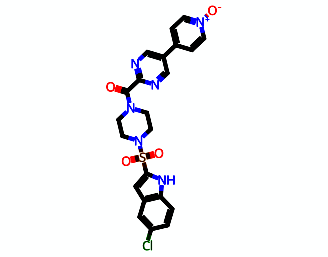 O=C(c1ncc(-c2cc[n+]([O-])cc2)cn1)N1CCN(S(=O)(=O)c2cc3cc(Cl)ccc3[nH]2)CC1